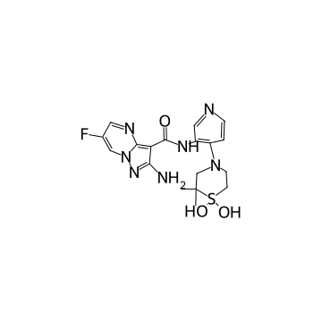 CC1(C)CN(c2ccncc2NC(=O)c2c(N)nn3cc(F)cnc23)CCS1(O)O